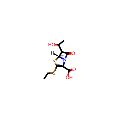 CCSC1=C(C(=O)O)N2C(=O)C(C(C)O)[C@H]2S1